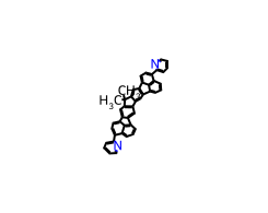 CC1(C)c2cc3c(cc2-c2cc4c(cc21)-c1ccc(-c2ccccn2)c2cccc-4c12)-c1cccc2c(-c4ccccn4)ccc-3c12